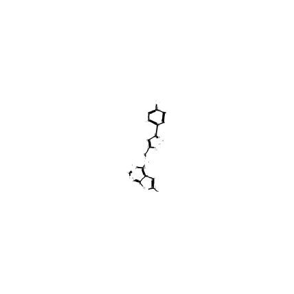 CCc1cc2c(NCc3cc(-c4ccc(F)cc4)no3)ncnc2s1